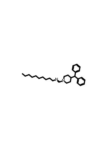 CCCCCCCCCC/N=C/N1CCC(C(c2ccccc2)c2ccccc2)CC1